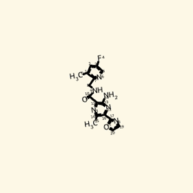 Cc1cc(F)cnc1CNC(=O)c1nc(C)c(-c2ncco2)nc1N